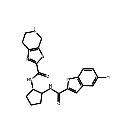 O=C(NC1CCC[C@H]1NC(=O)c1nc2c(s1)CNCC2)c1cc2cc(Cl)ccc2[nH]1